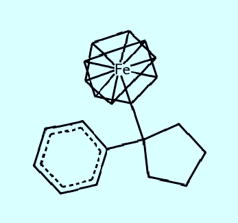 c1ccc(C2([C]34[CH]5[CH]6[CH]7[CH]3[Fe]6754389%10[CH]4[CH]3[CH]8[CH]9[CH]4%10)CCCC2)cc1